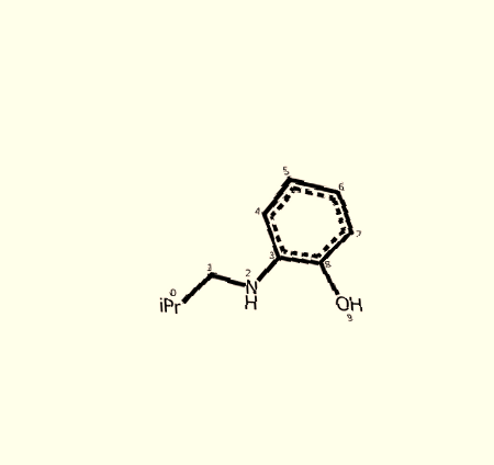 CC(C)CNc1ccccc1O